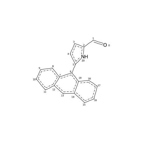 O=Cc1ccc(-c2c3ccccc3cc3ccccc23)[nH]1